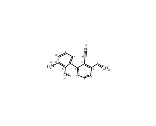 C=Cc1cccc(-c2cccc(N)c2C)c1C#N